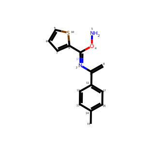 C=C(/N=C(\ON)c1cccs1)c1ccc(C)cc1